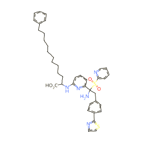 NC(Cc1ccc(-c2nccs2)cc1)(c1cccc(NC(CCCCCCCCCCc2ccccc2)C(=O)O)n1)S(=O)(=O)c1ccccn1